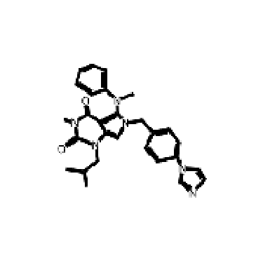 CC(C)Cn1c(=O)n(C)c(=O)c2c(N(C)c3ccccc3)n(Cc3ccc(-n4ccnc4)cc3)cc21